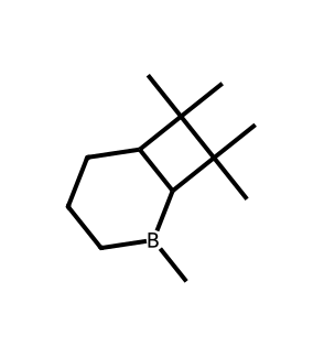 CB1CCCC2C1C(C)(C)C2(C)C